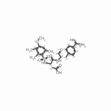 COc1cc(C)c(S(=O)(=O)N[C@@H](CC(=O)O)C(=O)N[C@H]([C]=O)Cc2ccc(C(=N)N)cc2)c(C)c1C